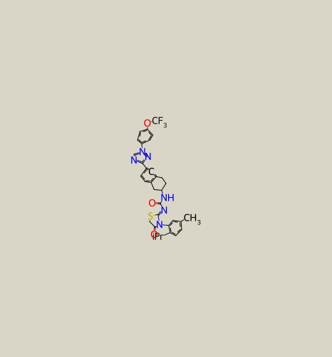 Cc1ccc(C(C)C)c(N2C(=O)CSC2=NC(=O)NC2CCc3cc(-c4ncn(-c5ccc(OC(F)(F)F)cc5)n4)ccc3C2)c1